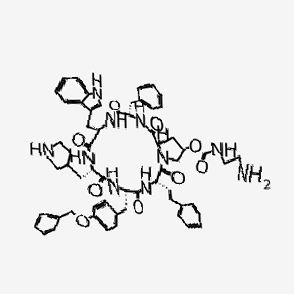 NCCNC(=O)O[C@@H]1C[C@H]2C(=O)N[C@@H](Cc3ccccc3)C(=O)N[C@H](Cc3c[nH]c4ccccc34)C(=O)N[C@@H](CC3CCNCC3)C(=O)N[C@@H](Cc3ccc(OCc4ccccc4)cc3)C(=O)N[C@@H](CCc3ccccc3)C(=O)N2C1